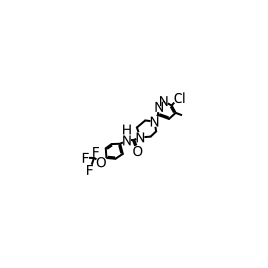 Cc1cc(N2CCN(C(=O)Nc3ccc(OC(F)(F)F)cc3)CC2)nnc1Cl